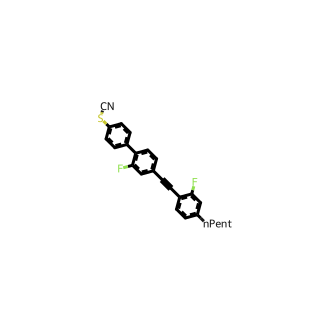 CCCCCc1ccc(C#Cc2ccc(-c3ccc(SC#N)cc3)c(F)c2)c(F)c1